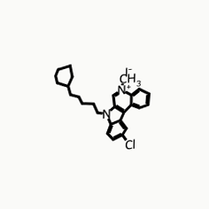 C[n+]1cc2c(c3cc(Cl)ccc3n2CCCCCC2CCCCC2)c2ccccc21.[I-]